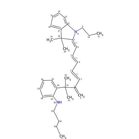 C=C(/C=C/C=C/C=C1/N(CCC)c2ccccc2C1(C)C)C(C)(C)c1ccccc1NCCCC